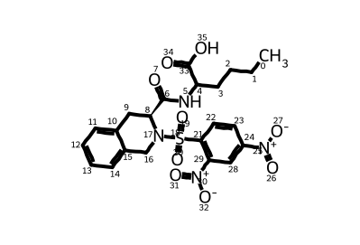 CCCCC(NC(=O)[C@@H]1Cc2ccccc2CN1S(=O)(=O)c1ccc([N+](=O)[O-])cc1[N+](=O)[O-])C(=O)O